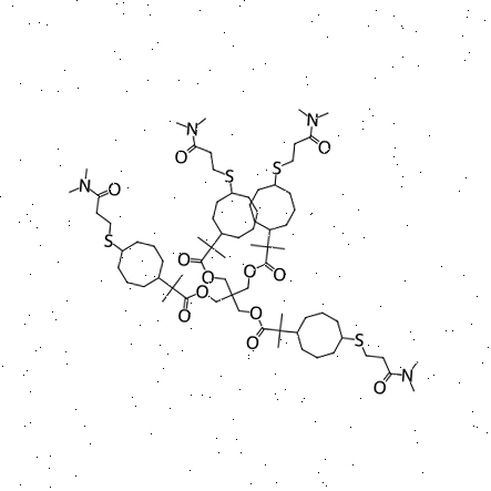 CN(C)C(=O)CCSC1CCCC(C(C)(C)C(=O)OCC(COC(=O)C(C)(C)C2CCCC(SCCC(=O)N(C)C)CCC2)(COC(=O)C(C)(C)C2CCCC(SCCC(=O)N(C)C)CCC2)COC(=O)C(C)(C)C2CCCCC(SCCC(=O)N(C)C)CC2)CCC1